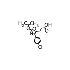 CC(C)Oc1nc(-c2ccc(Cl)cc2)c(CCC(=O)O)o1